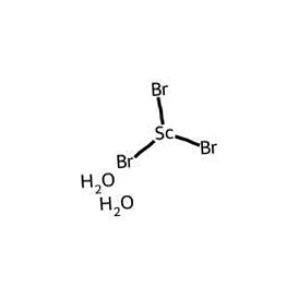 O.O.[Br][Sc]([Br])[Br]